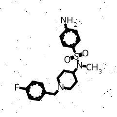 CN(C1CCN(Cc2ccc(F)cc2)CC1)S(=O)(=O)c1ccc(N)cc1